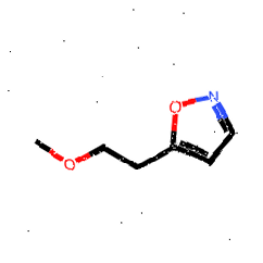 COCCc1c[c]no1